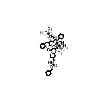 CC(C)C(NC(=O)C(Cc1ccccc1)CC(O[Si](C)(C)C(C)(C)C)C(Cc1ccccc1)NC(=O)OC(C)(C)C)C(=O)N1CCC(CNC(=O)OCc2ccccc2)CC1